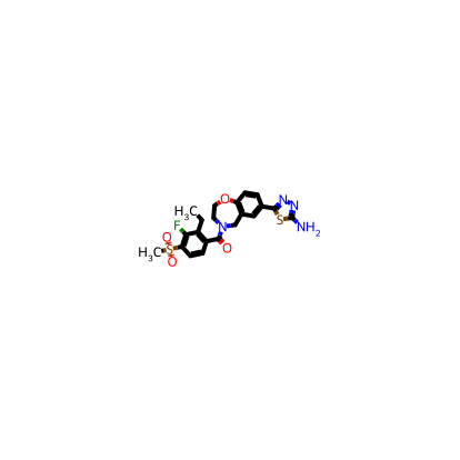 CCc1c(C(=O)N2CCOc3ccc(-c4nnc(N)s4)cc3C2)ccc(S(C)(=O)=O)c1F